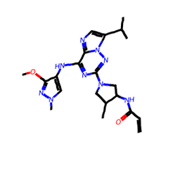 C=CC(=O)NC1CN(c2nc(Nc3cn(C)nc3OC)c3ncc(C(C)C)n3n2)CC1C